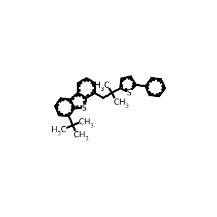 CC(C)(C)c1cccc2c1sc1c(CC(C)(C)c3ccc(-c4ccccc4)s3)cccc12